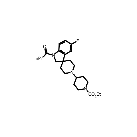 CCCC(=O)N1CC2(CCN(C3CCN(C(=O)OCC)CC3)CC2)c2cc(F)ccc21